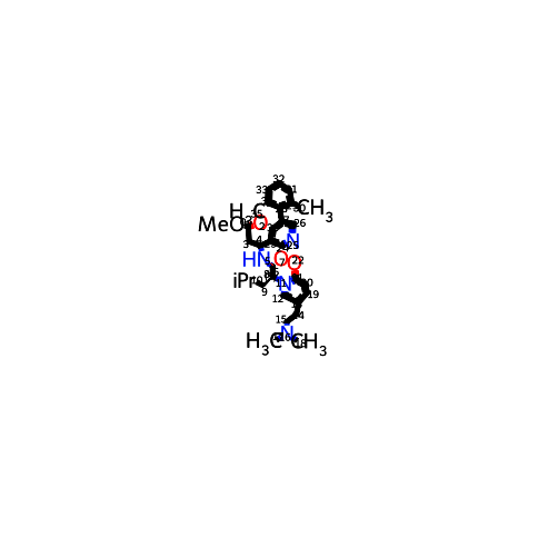 COC(=O)CC(NC(=O)[C@H](CC(C)C)n1cc(CCN(C)C)ccc1=O)c1cncc(-c2c(C)cccc2C)c1